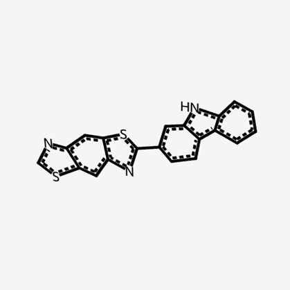 c1ccc2c(c1)[nH]c1cc(-c3nc4cc5scnc5cc4s3)ccc12